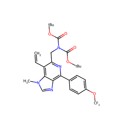 C=Cc1c(CN(C(=O)OC(C)(C)C)C(=O)OC(C)(C)C)nc(-c2ccc(OC(F)(F)F)cc2)c2ncn(C)c12